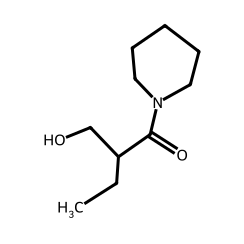 CCC(CO)C(=O)N1CCCCC1